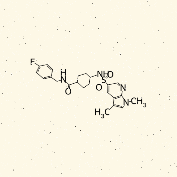 Cc1cn(C)c2ncc(S(=O)(=O)NC3CCC(C(=O)NCc4ccc(F)cc4)CC3)cc12